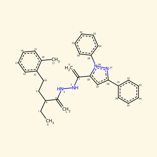 C=C(NNC(=C)C(CC)CCc1ccccc1C)c1cc(-c2ccccc2)nn1-c1ccccc1